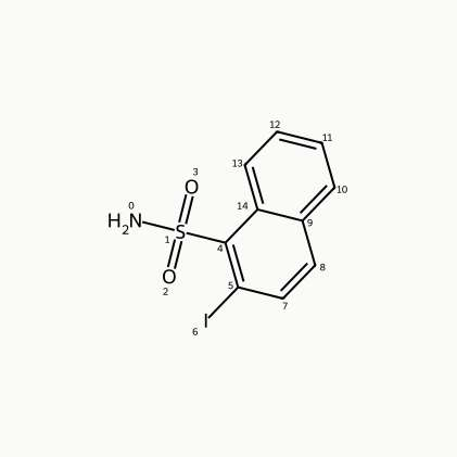 NS(=O)(=O)c1c(I)ccc2ccccc12